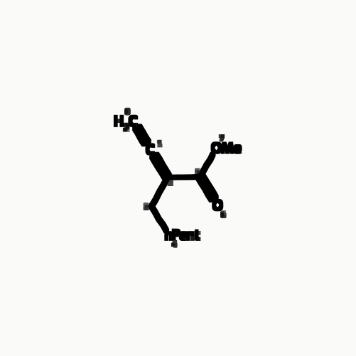 C=C=C(CCCCCC)C(=O)OC